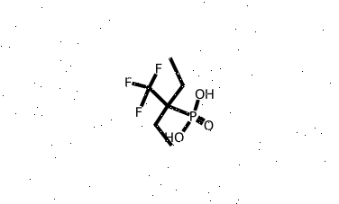 CCC(CC)(C(F)(F)F)P(=O)(O)O